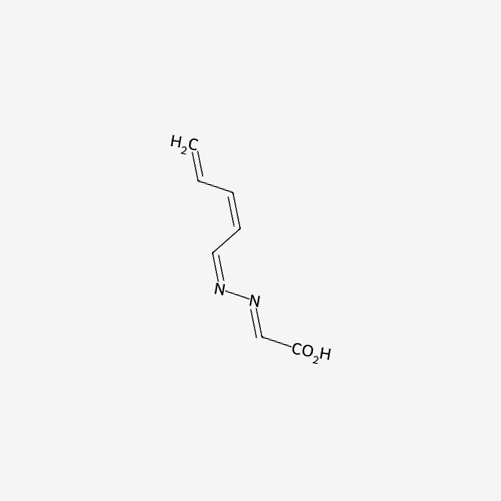 C=C\C=C/C=N\N=C\C(=O)O